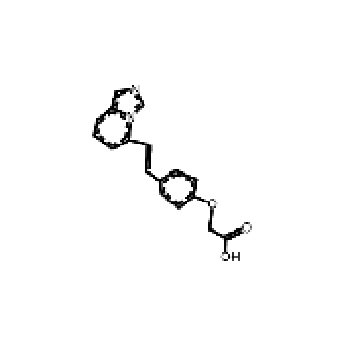 O=C(O)COc1ccc(C=Cc2cccc3cncn23)cc1